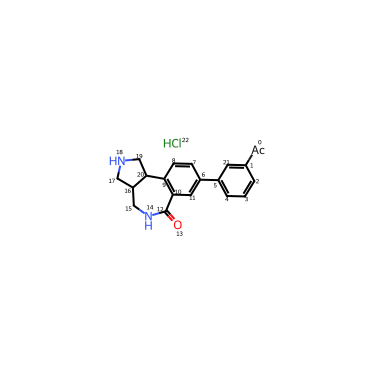 CC(=O)c1cccc(-c2ccc3c(c2)C(=O)NCC2CNCC32)c1.Cl